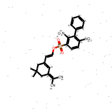 CC1(C)CC(/C=C/OS(=O)(=O)c2ccc([N+](=O)[O-])c(-c3ccccc3)c2[N+](=O)[O-])=CC(=C(C#N)C#N)C1